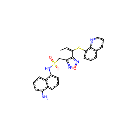 C/C=C(/Sc1cccc2cccnc12)c1nonc1CS(=O)(=O)Nc1cccc2c(N)cccc12